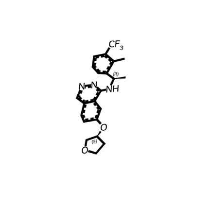 Cc1c([C@@H](C)Nc2nncc3ccc(O[C@H]4CCOC4)cc23)cccc1C(F)(F)F